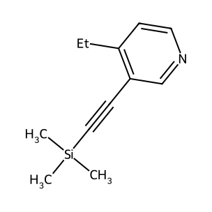 CCc1ccncc1C#C[Si](C)(C)C